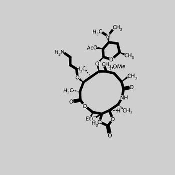 CC[C@H]1OC(=O)[C@H](C)[C@@H](OCCCN)[C@H](C)[C@@H](O[C@@H]2O[C@H](C)C[C@H](N(C)C)[C@@H]2OC(C)=O)[C@](C)(OC)C[C@@H](C)C(=O)N[C@H](C)[C@H]2OC(=O)O[C@@]21C